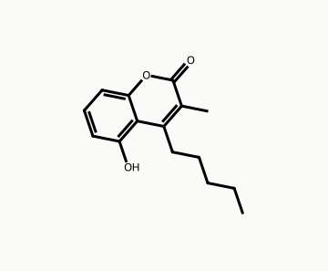 CCCCCc1c(C)c(=O)oc2cccc(O)c12